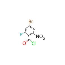 O=C(Cl)c1c(F)cc(Br)cc1[N+](=O)[O-]